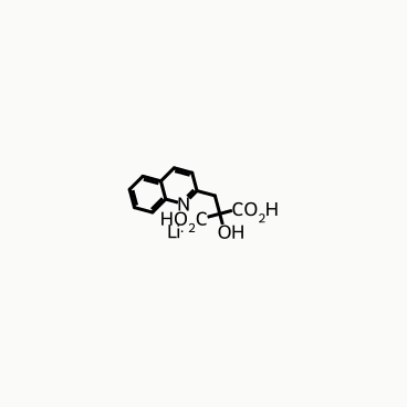 O=C(O)C(O)(Cc1ccc2ccccc2n1)C(=O)O.[Li]